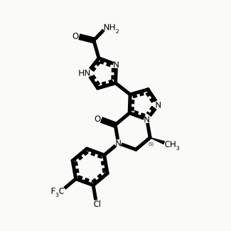 C[C@H]1CN(c2ccc(C(F)(F)F)c(Cl)c2)C(=O)c2c(-c3c[nH]c(C(N)=O)n3)cnn21